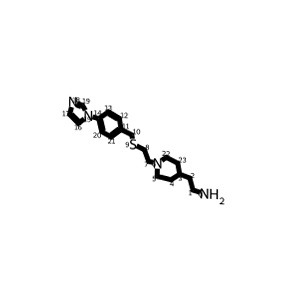 NCCC1CCN(CCSCc2ccc(-n3ccnc3)cc2)CC1